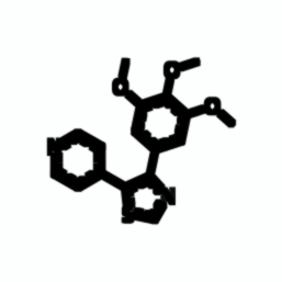 COc1cc(-c2ncsc2-c2ccncc2)cc(OC)c1OC